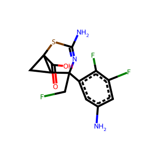 NC1=NC(CF)(c2cc(N)cc(F)c2F)C2CC2(C(=O)O)S1